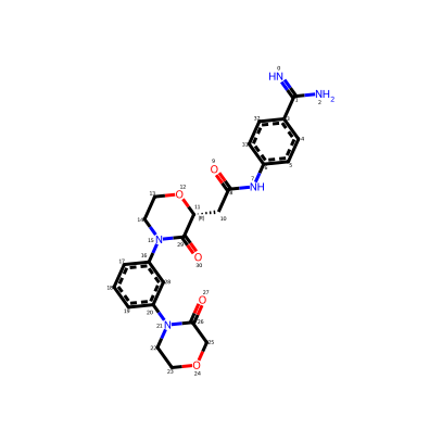 N=C(N)c1ccc(NC(=O)C[C@H]2OCCN(c3cccc(N4CCOCC4=O)c3)C2=O)cc1